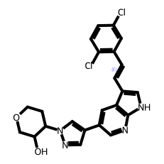 OC1COCCC1n1cc(-c2cnc3[nH]cc(/C=C/c4cc(Cl)ccc4Cl)c3c2)cn1